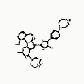 CCc1cccc(CC)c1-n1c(CC(C)C)c(C(=O)N2CCNCC2)cc(-c2nc(-c3ccc(N4CCNCC4)cc3)c(C)s2)c1=O